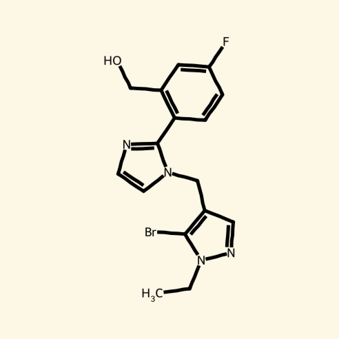 CCn1ncc(Cn2ccnc2-c2ccc(F)cc2CO)c1Br